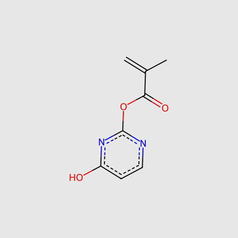 C=C(C)C(=O)Oc1nccc(O)n1